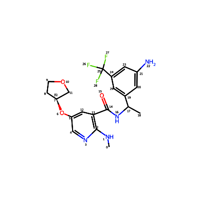 CNc1ncc(O[C@H]2CCOC2)cc1C(=O)NC(C)c1cc(N)cc(C(F)(F)F)c1